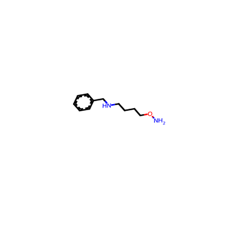 NOCCCCNCc1ccccc1